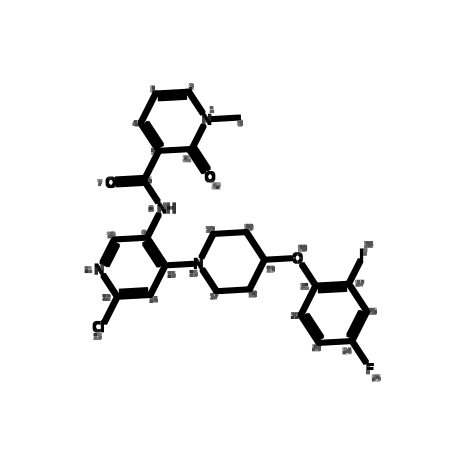 Cn1cccc(C(=O)Nc2cnc(Cl)cc2N2CCC(Oc3ccc(F)cc3F)CC2)c1=O